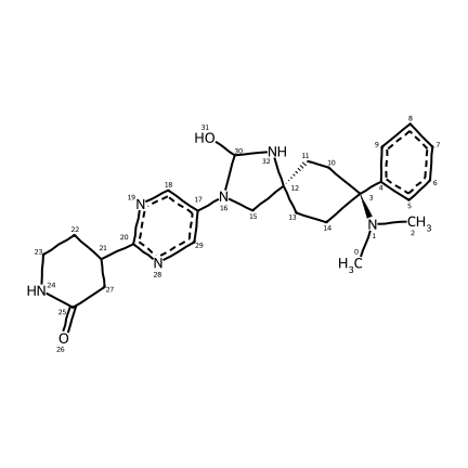 CN(C)[C@]1(c2ccccc2)CC[C@]2(CC1)CN(c1cnc(C3CCNC(=O)C3)nc1)C(O)N2